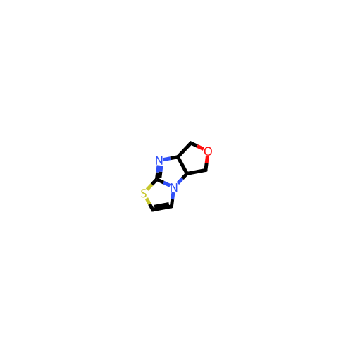 C1=CN2C(=NC3COCC32)S1